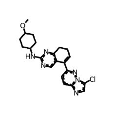 COC1CCC(Nc2ncc3c(n2)CCC=C3c2ccc3ncc(Cl)n3n2)CC1